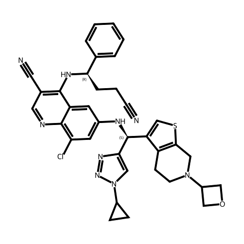 N#CCC[C@@H](Nc1c(C#N)cnc2c(Cl)cc(N[C@H](c3cn(C4CC4)nn3)c3csc4c3CCN(C3COC3)C4)cc12)c1ccccc1